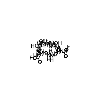 CCC(=O)N[C@H]1C[C@@H](n2cnc3c(NCC(c4ccccc4)c4ccc(F)cc4)nc(N4CC[C@@H](NC(=O)N[C@@H]5CCN(c6nc(NCC(c7ccccc7)c7ccc(F)cc7)c7ncn([C@@H]8C[C@H](NC(=O)CC)[C@@H](O)[C@H]8O)c7n6)C5)C4)nc32)[C@H](O)[C@@H]1O